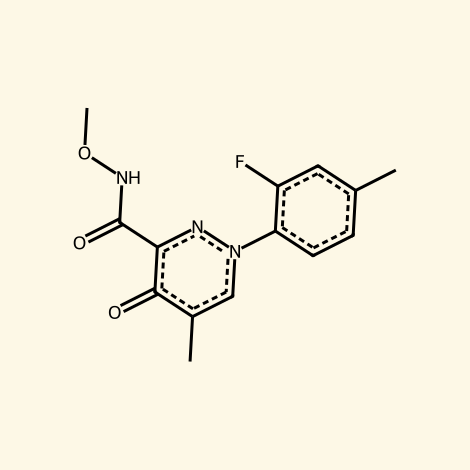 CONC(=O)c1nn(-c2ccc(C)cc2F)cc(C)c1=O